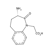 N[C@H]1CCc2ccccc2N(CC(=O)O)C1=O